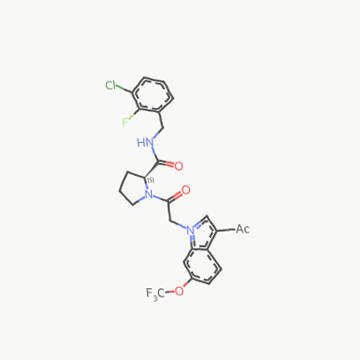 CC(=O)c1cn(CC(=O)N2CCC[C@H]2C(=O)NCc2cccc(Cl)c2F)c2cc(OC(F)(F)F)ccc12